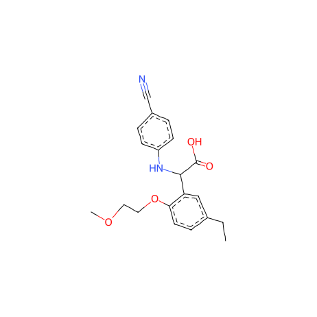 CCc1ccc(OCCOC)c(C(Nc2ccc(C#N)cc2)C(=O)O)c1